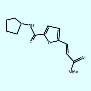 COC(=O)C=Cc1ccc(C(=O)NN2CCCC2)o1